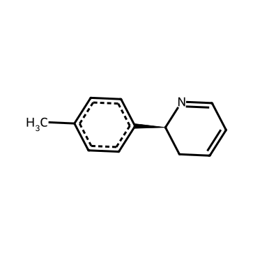 Cc1ccc([C@@H]2CC=CC=N2)cc1